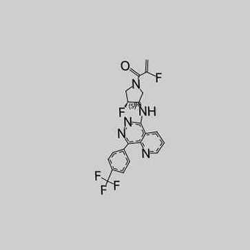 C=C(F)C(=O)N1C[C@H](F)[C@H](Nc2nnc(-c3ccc(C(F)(F)F)cc3)c3ncccc23)C1